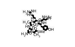 CSC(=O)[C@H](C)NC(=O)[C@H](CC(N)=O)NC(=O)[C@H](C)NC(=O)[C@H](CCCNC(=N)N)NC(=O)[C@H](Cc1ccc(O)cc1)NC(=O)[C@H](CC(C)C)NC(C)=O